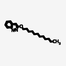 CCCCCCCCCCCCOc1cc2ccccc2nn1